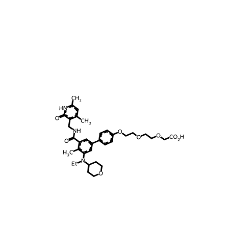 CCN(c1cc(-c2ccc(OCCOCCOCC(=O)O)cc2)cc(C(=O)NCc2c(C)cc(C)[nH]c2=O)c1C)C1CCOCC1